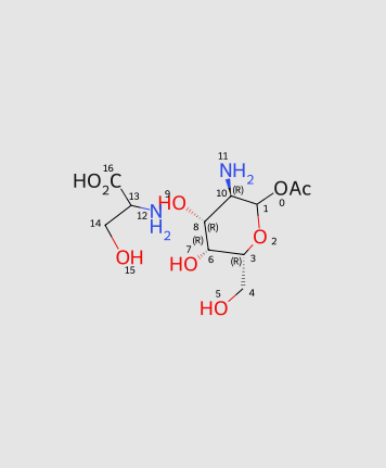 CC(=O)OC1O[C@H](CO)[C@H](O)[C@H](O)[C@H]1N.NC(CO)C(=O)O